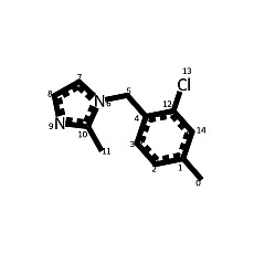 Cc1ccc(Cn2ccnc2C)c(Cl)c1